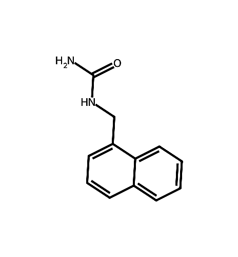 NC(=O)NCc1cccc2ccccc12